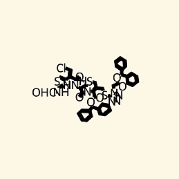 O=CNc1nc(/C(=C\Cl)C(=O)NC2C(=O)N3C(C(=O)OC(c4ccccc4)c4ccccc4)=C(CSc4nnnn4CC(=O)OC(c4ccccc4)c4ccccc4)CS[C@H]23)cs1